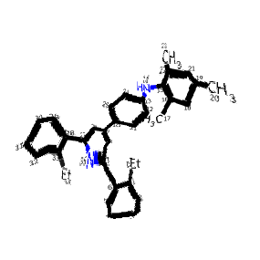 CCc1ccccc1-c1cc(-c2ccc(Nc3c(C)cc(C)cc3C)cc2)cc(-c2ccccc2CC)n1